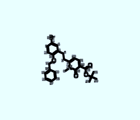 Cn1c(CCc2cc(Br)ccc2OCc2ccccc2)ccc(C(=O)OC(C)(C)C)c1=O